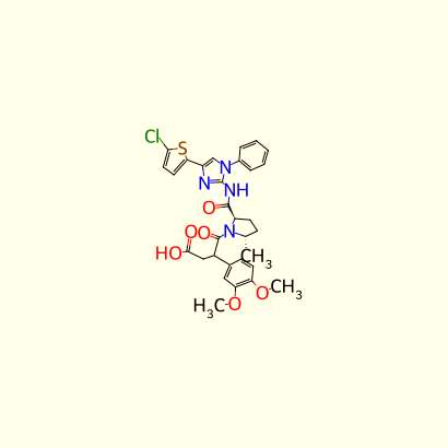 COc1ccc(C(CC(=O)O)C(=O)N2[C@@H](C(=O)Nc3nc(-c4ccc(Cl)s4)cn3-c3ccccc3)CC[C@@H]2C)cc1OC